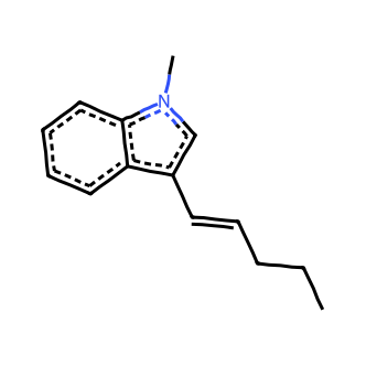 CCCC=Cc1cn(C)c2ccccc12